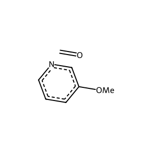 C=O.COc1cccnc1